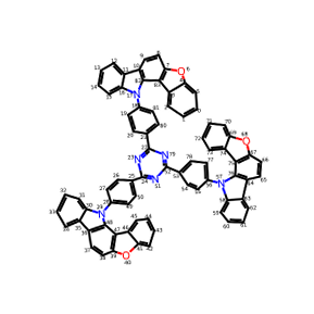 c1ccc2c(c1)oc1ccc3c4ccccc4n(-c4ccc(-c5nc(-c6ccc(-n7c8ccccc8c8ccc9oc%10ccccc%10c9c87)cc6)nc(-c6ccc(-n7c8ccccc8c8ccc9oc%10ccccc%10c9c87)cc6)n5)cc4)c3c12